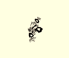 CONc1cccc(S(=O)(=O)Nc2nc3ccccc3nc2Nc2ccc(Br)cc2)c1